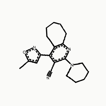 Cc1cc(-c2c(C#N)c(N3CCCCC3)nc3c2CCCCC3)no1